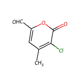 Cc1cc(C=O)oc(=O)c1Cl